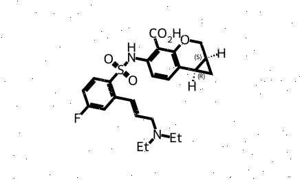 CCN(CC)CC=Cc1cc(F)ccc1S(=O)(=O)Nc1ccc2c(c1C(=O)O)OC[C@H]1C[C@@H]21